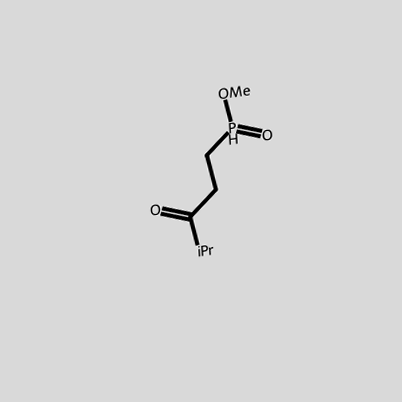 CO[PH](=O)CCC(=O)C(C)C